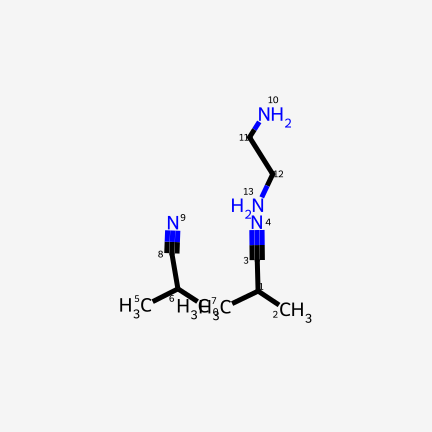 CC(C)C#N.CC(C)C#N.NCCN